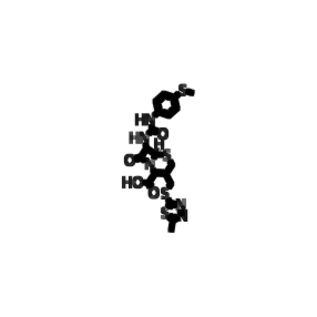 CSc1ccc(NC(=O)NC2C(=O)N3C(C(=O)O)=C(CSc4nnc(C)s4)CS[C@H]23)cc1